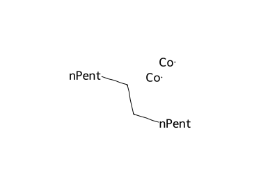 CCCCCCCCCCCC.[Co].[Co]